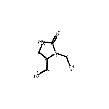 O=C1NCC(CO)N1CO